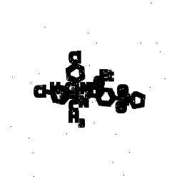 CCOc1cc(S(=O)(=O)N2CCCC2)ccc1C1=N[C@@](C)(c2ccc(Cl)cc2)[C@@](C)(c2ccc(Cl)cc2)N1